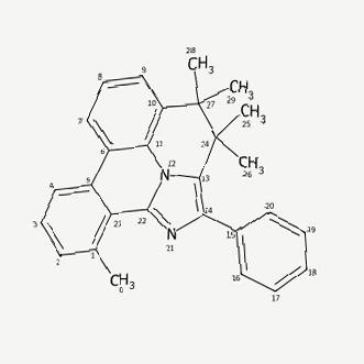 Cc1cccc2c3cccc4c3n3c(c(-c5ccccc5)nc3c12)C(C)(C)C4(C)C